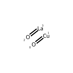 [O]=[Cu].[O]=[La]